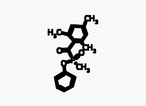 Cc1cc(C)c(C(=O)P(C)(=O)Oc2ccccc2)c(C)c1